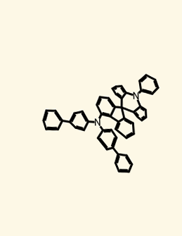 c1ccc(-c2ccc(N(c3ccc(-c4ccccc4)cc3)c3cccc4c3-c3ccccc3C43c4ccccc4N(c4ccccc4)c4ccccc43)cc2)cc1